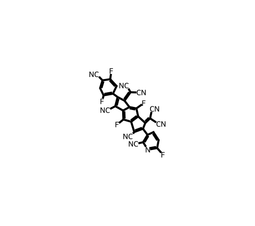 N#CC(C#N)=C1C(c2cc(F)c(C#N)cc2F)=C(C#N)c2c(F)c3c(c(F)c21)C(=C(C#N)C#N)C(c1ccc(F)nc1C#N)=C3C#N